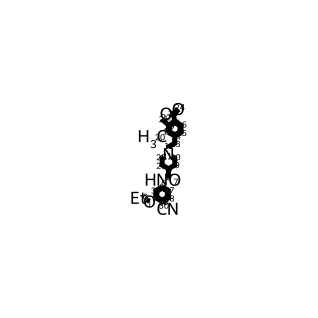 CCOc1cc(NC(=O)C2CCN(CCc3ccc4c(c3C)COC4=O)CC2)ccc1C#N